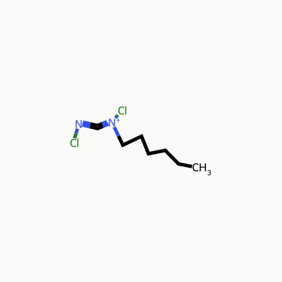 CCCCCC[N+](Cl)=C=NCl